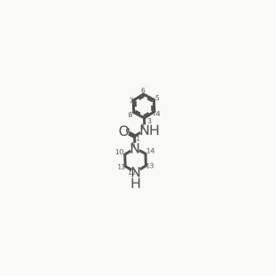 O=C(Nc1[c]cccc1)N1CCNCC1